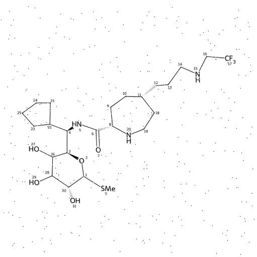 CSC1O[C@H]([C@H](NC(=O)[C@@H]2CC[C@H](CCCNCC(F)(F)F)CCN2)C2CCCC2)C(O)C(O)[C@H]1O